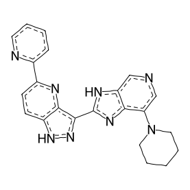 c1ccc(-c2ccc3[nH]nc(-c4nc5c(N6CCCCC6)cncc5[nH]4)c3n2)nc1